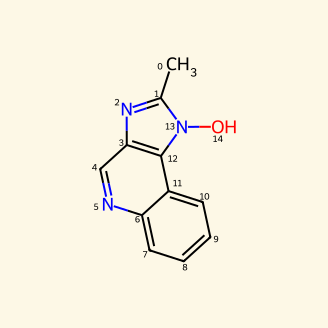 Cc1nc2cnc3ccccc3c2n1O